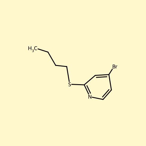 CCCCSc1cc(Br)ccn1